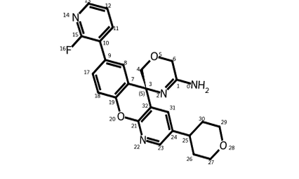 NC1=N[C@@]2(COC1)c1cc(-c3cccnc3F)ccc1Oc1ncc(C3CCOCC3)cc12